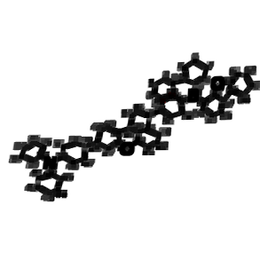 c1ccc(-c2ccccc2B(c2ccc(-c3ccc4c5c(cccc35)Oc3cc(-c5ccc(N(c6ccccc6)c6ccccc6)cc5)ccc3-4)cc2)c2cccc3c2oc2ccccc23)cc1